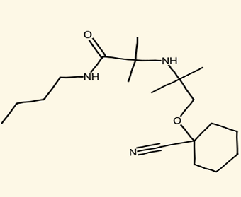 CCCCNC(=O)C(C)(C)NC(C)(C)COC1(C#N)CCCCC1